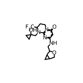 O=c1cc(NCC2OCC3CC32)nc2n1CCC(C(F)(F)F)N2CC1(O)CC1